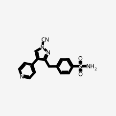 N#Cn1[c]c(-c2ccncc2)c(Cc2ccc(S(N)(=O)=O)cc2)n1